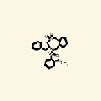 COc1ccccc1S(=O)(=O)N1Cc2ccccc2CS(=O)(=O)CC1Cc1ccccc1